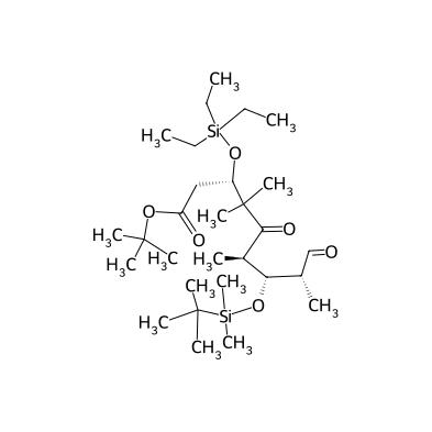 CC[Si](CC)(CC)O[C@@H](CC(=O)OC(C)(C)C)C(C)(C)C(=O)[C@H](C)[C@@H](O[Si](C)(C)C(C)(C)C)[C@@H](C)C=O